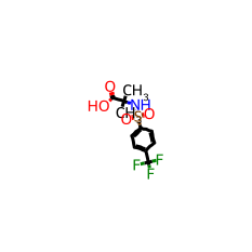 CC(C)(NS(=O)(=O)c1ccc(C(F)(F)F)cc1)C(=O)O